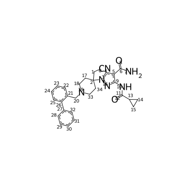 N#CCC1(n2cc(C(N)=O)c(NC(=O)C3CC3)n2)CCN(Cc2ccccc2-c2ccccc2)CC1